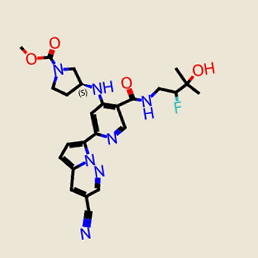 COC(=O)N1CC[C@H](Nc2cc(-c3ccc4cc(C#N)cnn34)ncc2C(=O)NCC(F)C(C)(C)O)C1